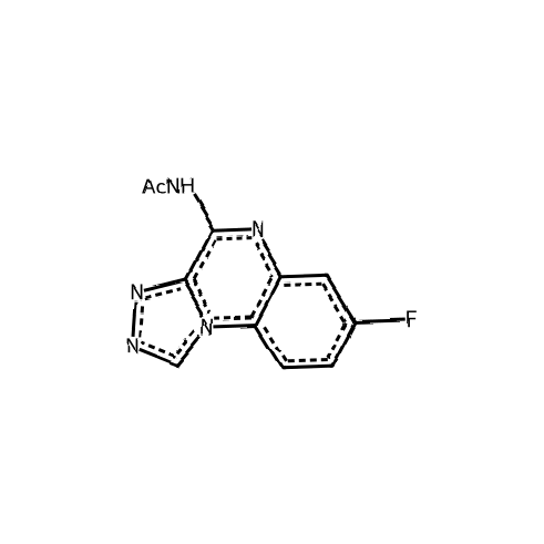 CC(=O)Nc1nc2cc(F)ccc2n2cnnc12